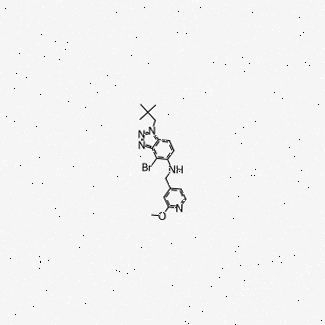 COc1cc(CNc2ccc3c(nnn3CC(C)(C)C)c2Br)ccn1